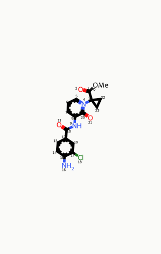 COC(=O)C1(n2cccc(NC(=O)c3ccc(N)c(Cl)c3)c2=O)CC1